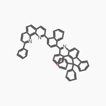 c1ccc(-c2ccc3ccc4ccc(-c5ccc(-c6nc7ccc8c(c7c7ccccc67)C(c6ccccc6)(c6ccccc6)c6ccccc6-8)c6ccccc56)nc4c3n2)cc1